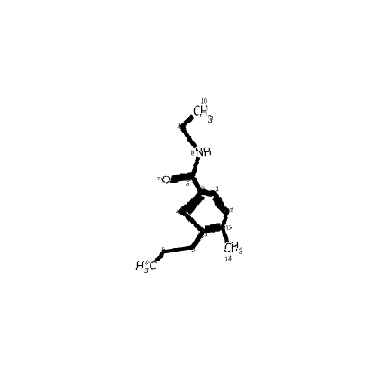 CCCc1cc(C(=O)NCC)ccc1C